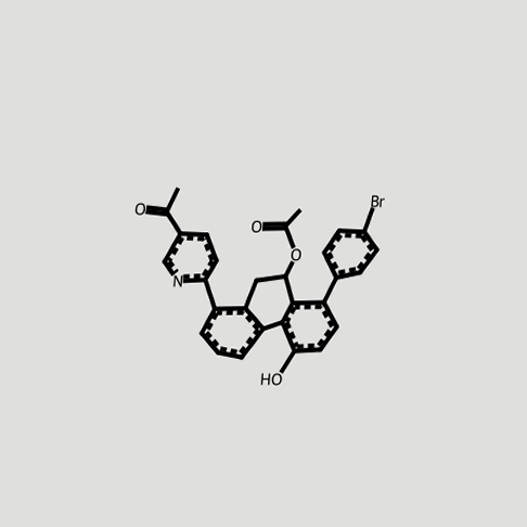 CC(=O)OC1Cc2c(-c3ccc(C(C)=O)cn3)cccc2-c2c(O)ccc(-c3ccc(Br)cc3)c21